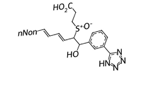 CCCCCCCCC/C=C/C=C/C(C(O)c1cccc(-c2nnn[nH]2)c1)[S+]([O-])CCC(=O)O